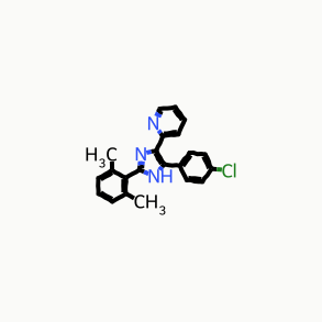 Cc1cccc(C)c1-c1nc(-c2ccccn2)c(-c2ccc(Cl)cc2)[nH]1